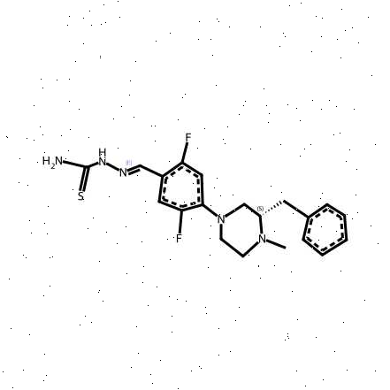 CN1CCN(c2cc(F)c(/C=N/NC(N)=S)cc2F)C[C@@H]1Cc1ccccc1